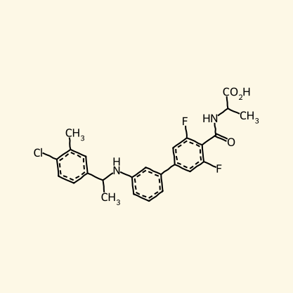 Cc1cc(C(C)Nc2cccc(-c3cc(F)c(C(=O)NC(C)C(=O)O)c(F)c3)c2)ccc1Cl